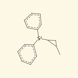 CC1CC1[S+](c1ccccc1)c1ccccc1